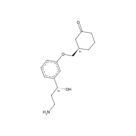 NCC[C@@H](O)c1cccc(OC[C@@H]2CCCC(=O)C2)c1